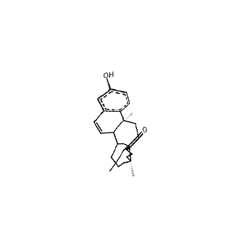 C[C@]12CCC(=O)[C@]13CC[C@]1(C)c4ccc(O)cc4C=CC1C3CC2